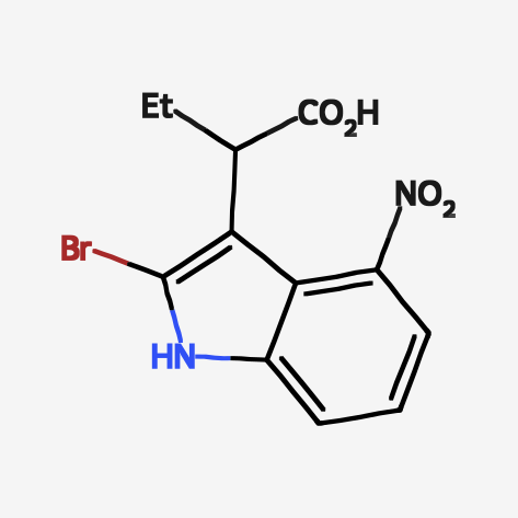 CCC(C(=O)O)c1c(Br)[nH]c2cccc([N+](=O)[O-])c12